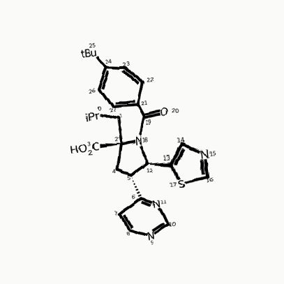 CC(C)C[C@@]1(C(=O)O)C[C@@H](c2ccncn2)[C@H](c2cncs2)N1C(=O)c1ccc(C(C)(C)C)cc1